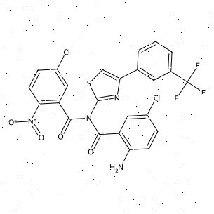 Nc1ccc(Cl)cc1C(=O)N(C(=O)c1cc(Cl)ccc1[N+](=O)[O-])c1nc(-c2cccc(C(F)(F)F)c2)cs1